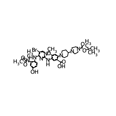 COc1cc(N2CCC(N3CCN(C(=O)OC(C)(C)C)CC3)CC2)c(C(=O)O)cc1Nc1ncc(Br)c(Nc2ccc(O)cc2N(C)S(C)(=O)=O)n1